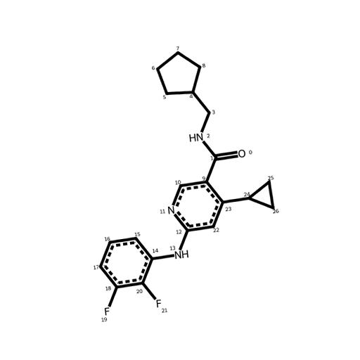 O=C(NCC1CCCC1)c1cnc(Nc2cccc(F)c2F)cc1C1CC1